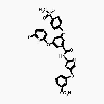 CS(=O)(=O)c1ccc(Oc2cc(Oc3cccc(F)n3)cc(C(=O)Nc3ncc(Oc4cccc(C(=O)O)c4)s3)c2)cc1